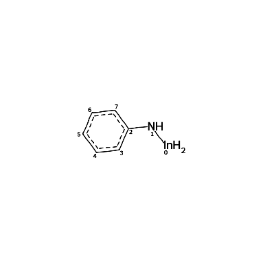 [InH2][NH]c1ccccc1